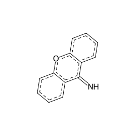 N=c1c2ccccc2oc2ccccc12